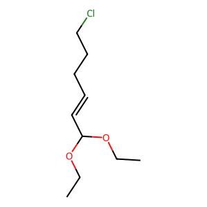 CCOC(/C=C/CCCCl)OCC